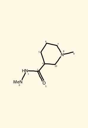 CNNC(=O)C1CCCN(C)C1